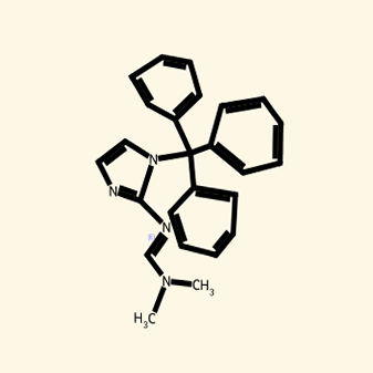 CN(C)/C=N/c1nccn1C(c1ccccc1)(c1ccccc1)c1ccccc1